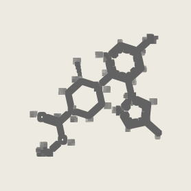 Cc1cnn(-c2cc(Br)cnc2N2CCN(C(=O)OC(C)(C)C)C[C@@H]2C)c1